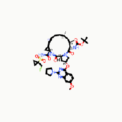 COc1ccc2c(O[C@@H]3C[C@H]4C(=O)N[C@]5(C(=O)NS(=O)(=O)C6(CF)CC6)CC5/C=C\CC[C@H](C)C[C@@H](C)[C@H](NC(=O)OC(C)(C)C)C(=O)N4C3)nc(N3CCCC3)nc2c1